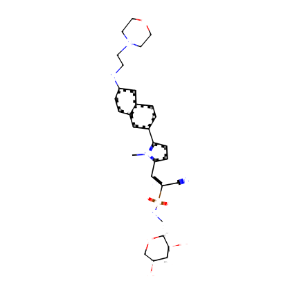 Cn1c(/C=C(\C#N)S(=O)(=O)NC[C@H]2OC[C@H](O)[C@@H](O)[C@@H]2O)ccc1-c1ccc2cc(NCCN3CCOCC3)ccc2c1